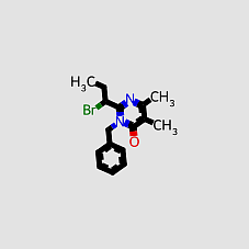 CCC(Br)c1nc(C)c(C)c(=O)n1Cc1ccccc1